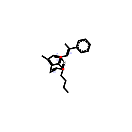 CCCCCC(=C\C=C(/C)c1ccccc1)/C1=C(C)\C=C/N=C\C=C\1